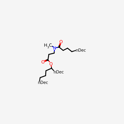 CCCCCCCCCCCCCC(=O)N(C)CCC(=O)OC(CCCCCCCCCC)CCCCCCCCCCCCC